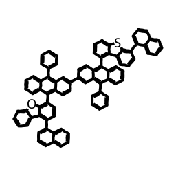 c1ccc(-c2c3ccccc3c(-c3ccc(-c4cccc5ccccc45)c4c3oc3ccccc34)c3ccc(-c4ccc5c(-c6cccc7sc8c(-c9cccc%10ccccc9%10)cccc8c67)c6ccccc6c(-c6ccccc6)c5c4)cc23)cc1